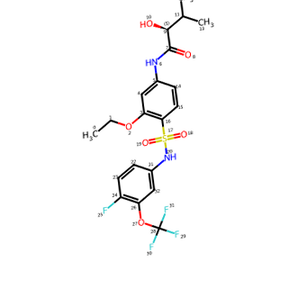 CCOc1cc(NC(=O)[C@@H](O)C(C)C)ccc1S(=O)(=O)Nc1ccc(F)c(OC(F)(F)F)c1